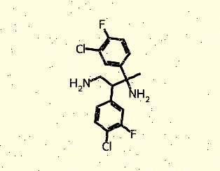 CC(N)(c1ccc(F)c(Cl)c1)C(CN)c1ccc(Cl)c(F)c1